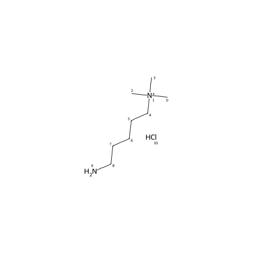 C[N+](C)(C)CCCCCN.Cl